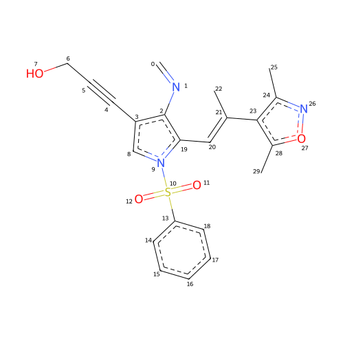 C=Nc1c(C#CCO)cn(S(=O)(=O)c2ccccc2)c1/C=C(\C)c1c(C)noc1C